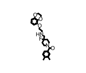 Cc1ccc(C(=O)N2CCC(F)(CNCCOc3cccc4c3OCCO4)CC2)cc1C